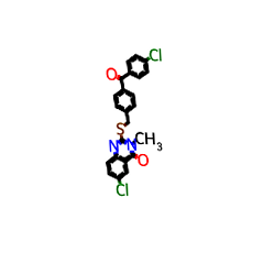 Cn1c(SCc2ccc(C(=O)c3ccc(Cl)cc3)cc2)nc2ccc(Cl)cc2c1=O